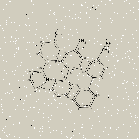 Cc1ccc(-c2ccccn2)cc1.Cc1ccc(-c2ccccn2)cc1.Cc1ccc(-c2ccccn2)cc1.[Re]